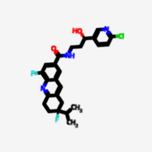 CC(C)[C@]1(F)CCc2nc3c(F)cc(C(=O)NCC[C@@H](O)c4ccc(Cl)nc4)cc3cc2C1